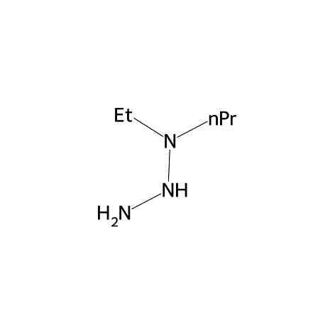 CCCN(CC)NN